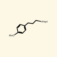 [CH2]Oc1ccc(CCCCCCCCCC)cc1